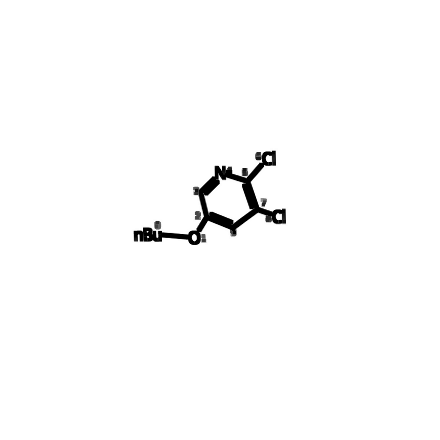 [CH2]CCCOc1cnc(Cl)c(Cl)c1